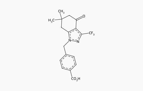 CC1(C)CC(=O)c2c(C(F)(F)F)nn(Cc3ccc(C(=O)O)cc3)c2C1